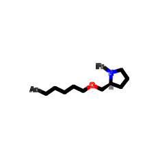 CC(=O)CCCCCOC[C@@H]1CCCN1C(C)C